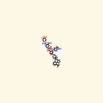 C[C@]1(O)CC[C@H](CNc2ncc(S(=O)(=O)NC(=O)c3ccc(N4CCC5(CC4)CN([C@H]4CCC[C@@H]4c4ccccc4C4CC4)C5)cc3Oc3cnc4[nH]ccc4c3)cc2N=O)CC1